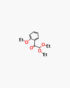 CCOc1ccccc1C(=O)C(OCC)OCC